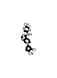 Cc1cnc(Nc2ncnc3c2CCN(c2ccc(C#N)c(Cl)c2)C3)cn1